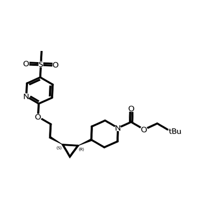 CC(C)(C)COC(=O)N1CCC([C@H]2C[C@H]2CCOc2ccc(S(C)(=O)=O)cn2)CC1